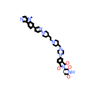 Cn1c2ccncc2c2ccc(-c3ccc(N4CCC(CCN5CCC(CN6CCN(c7ccc8c(c7)C(=O)N(C7CCC(=O)NC7=O)C8=O)CC6)CC5)CC4)nc3)cc21